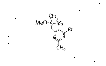 CO[Si](C)(Cc1cc(Br)cc(C)n1)C(C)(C)C